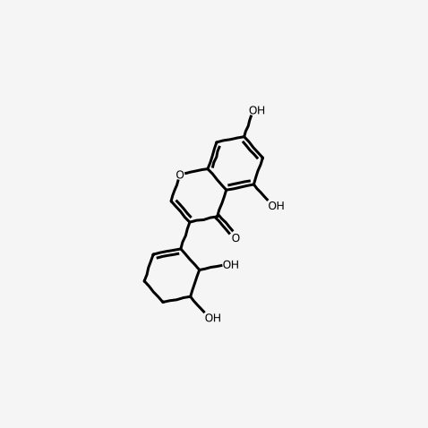 O=c1c(C2=CCCC(O)C2O)coc2cc(O)cc(O)c12